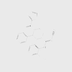 Cc1ccccc1N/C(=N/C#N)N1CCN(C(=O)c2ccco2)C(c2ccccc2)C1